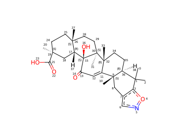 CC1(C)c2oncc2C[C@]2(C)C3=CC(=O)[C@]4(O)[C@@H]5C[C@@](C)(C(=O)O)CC[C@]5(C)CC[C@@]4(C)[C@]3(C)CC[C@@H]12